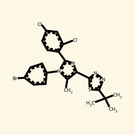 Cc1c(-c2nnc(C(C)(C)C)s2)nc(-c2ccc(Cl)cc2Cl)n1-c1ccc(Br)cc1